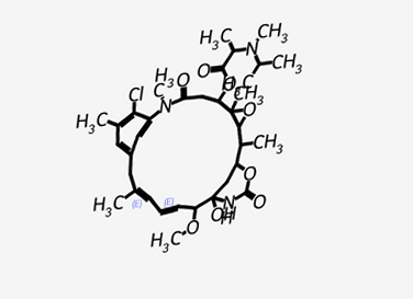 COC1/C=C/C=C(\C)Cc2cc(C)c(Cl)c(c2)N(C)C(=O)CC(OC(=O)C(C)N(C)C(C)C)C2(C)OC2C(C)C2CC1(O)NC(=O)O2